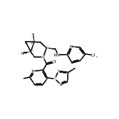 Cc1ccc(-n2ncc(C)n2)c(C(=O)N2C[C@@H]3C[C@@H]3C[C@H]2CNc2ccc(C(F)(F)F)cn2)n1